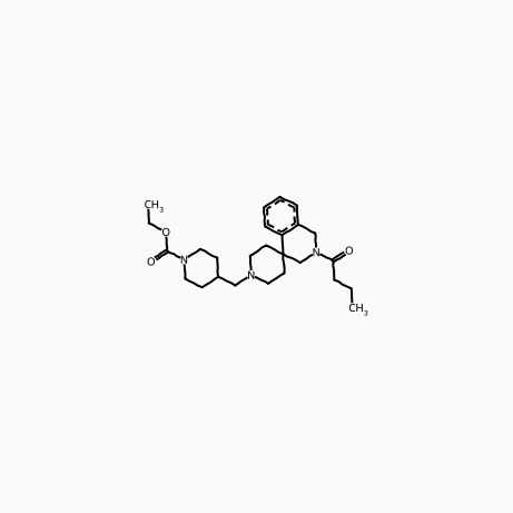 CCCC(=O)N1Cc2ccccc2C2(CCN(CC3CCN(C(=O)OCC)CC3)CC2)C1